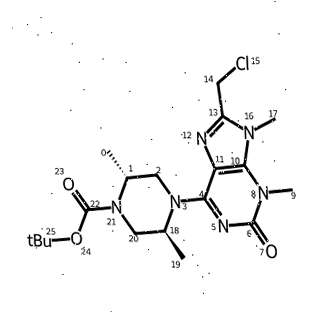 C[C@@H]1CN(c2nc(=O)n(C)c3c2nc(CCl)n3C)[C@@H](C)CN1C(=O)OC(C)(C)C